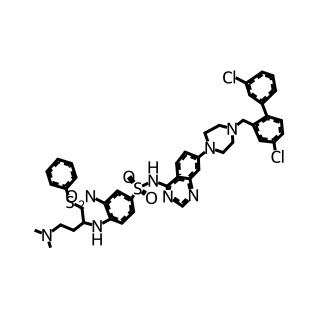 CN(C)CCC(CSc1ccccc1)Nc1ccc(S(=O)(=O)Nc2ncnc3cc(N4CCN(Cc5cc(Cl)ccc5-c5cccc(Cl)c5)CC4)ccc23)cc1[N+](=O)[O-]